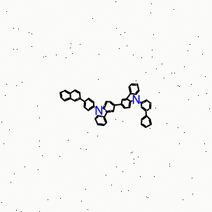 c1ccc(-c2cccc(-n3c4ccccc4c4cc(-c5ccc6c(c5)c5ccccc5n6-c5ccc(-c6ccc7ccccc7c6)cc5)ccc43)c2)cc1